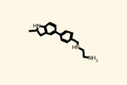 CC1Cc2cc(-c3ccc(CNCCN)cc3)ccc2N1